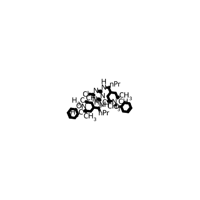 CCCC(Nc1nc(Cl)nc(NC(CCC)C2CC(C)(C)N(OC3CC=CCC3)C(C)(C)C2)n1)C1CC(C)(C)N(OC2CC=CCC2)C(C)(C)C1